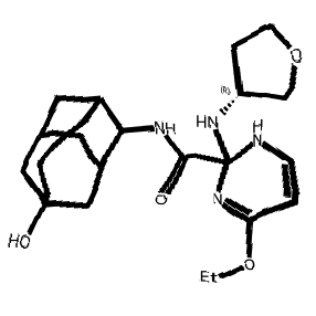 CCOC1=NC(N[C@@H]2CCOC2)(C(=O)NC2C3CC4CC2CC(O)(C4)C3)NC=C1